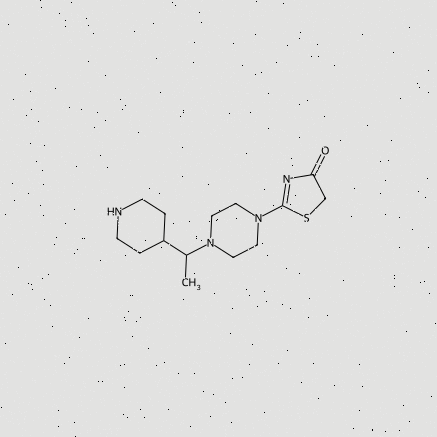 CC(C1CCNCC1)N1CCN(C2=NC(=O)CS2)CC1